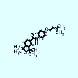 CN(C)CCOc1ccc(NC(=O)c2ccc3c(c2)C(C)(C)CC3(C)C)cc1